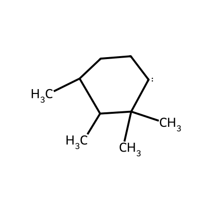 CC1CC[C]C(C)(C)C1C